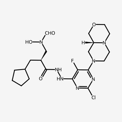 O=CN(O)C[C@H](CC1CCCC1)C(=O)NNc1nc(Cl)nc(N2CCN3CCOC[C@H]3C2)c1F